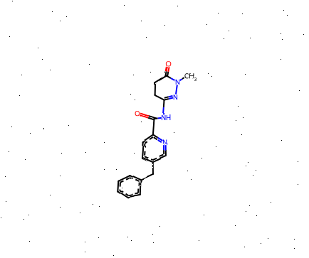 CN1N=C(NC(=O)c2ccc(Cc3ccccc3)cn2)CCC1=O